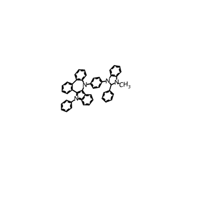 CN1c2ccccc2N(c2ccc(N3c4ccccc4-c4ccccc4-c4c3c3ccccc3n4-c3ccccc3)cc2)C1c1ccccc1